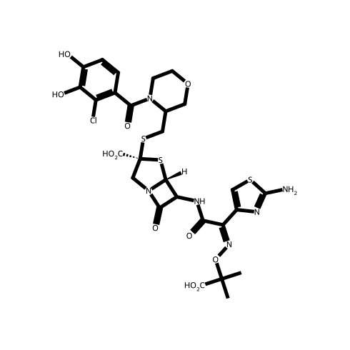 CC(C)(O/N=C(\C(=O)NC1C(=O)N2C[C@](SCC3COCCN3C(=O)c3ccc(O)c(O)c3Cl)(C(=O)O)S[C@H]12)c1csc(N)n1)C(=O)O